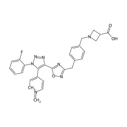 C=N/C=C\C(=C/C)c1c(-c2nc(Cc3ccc(CN4CC(C(=O)O)C4)cc3)no2)nnn1-c1ccccc1F